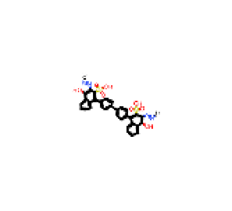 [H]/N=N/c1c(S(=O)(=O)O)c(-c2ccc(-c3ccc(-c4c(S(=O)(=O)O)c(/N=N/[H])c(O)c5ccccc45)cc3)cc2)c2ccccc2c1O